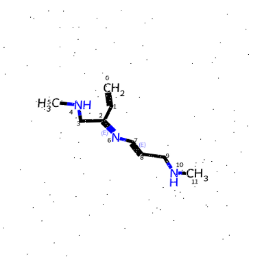 C=C/C(CNC)=N\C=C\CNC